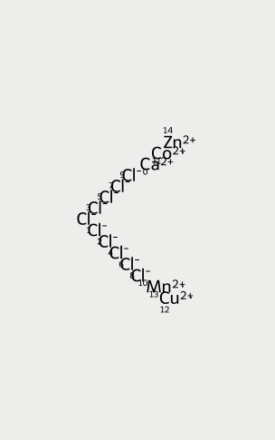 [Ca+2].[Cl-].[Cl-].[Cl-].[Cl-].[Cl-].[Cl-].[Cl-].[Cl-].[Cl-].[Cl-].[Co+2].[Cu+2].[Mn+2].[Zn+2]